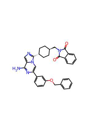 Nc1nc(-c2cccc(OCc3ccccc3)c2)cn2c1cnc2[C@H]1CC[C@H](CN2C(=O)c3ccccc3C2=O)CC1